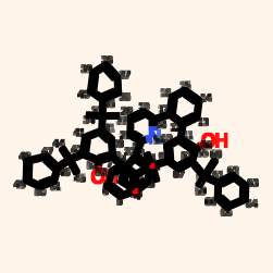 CC(C)(c1ccccc1)c1cc(-c2ccccc2-c2cccc(-c3ccccc3-c3cc(C(C)(C)c4ccccc4)cc(C(C)(C)c4ccccc4)c3O)n2)c(O)c(C(C)(C)c2ccccc2)c1